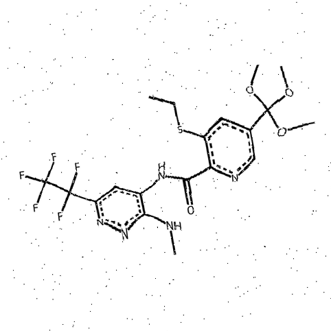 CCSc1cc(C(OC)(OC)OC)cnc1C(=O)Nc1cc(C(F)(F)C(F)(F)F)nnc1NC